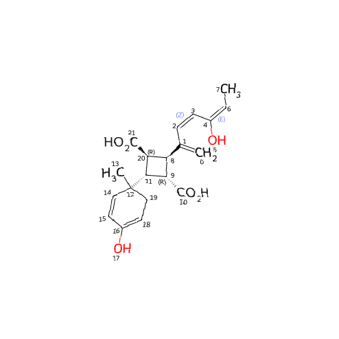 C=C(/C=C\C(O)=C/C)[C@H]1[C@H](C(=O)O)[C@H](C2(C)C=CC(O)=CC2)[C@H]1C(=O)O